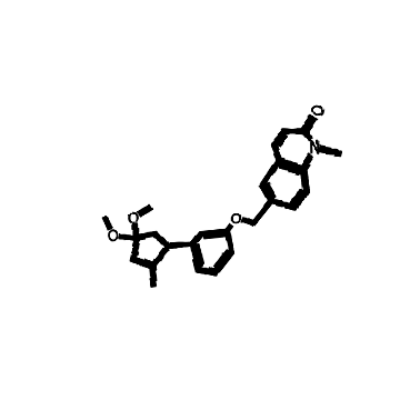 COC1(OC)CC(C)C(c2cccc(OCc3ccc4c(ccc(=O)n4C)c3)c2)C1